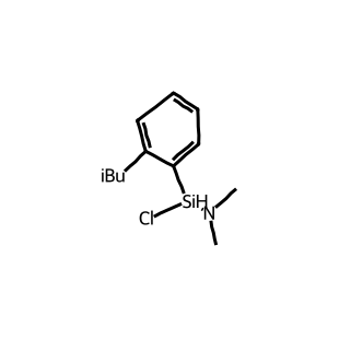 CCC(C)c1ccccc1[SiH](Cl)N(C)C